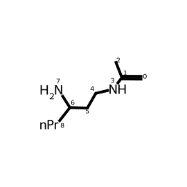 C=C(C)NCCC(N)CCC